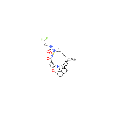 CO[C@H]1/C=C/C[C@H](C)C[S@@](=O)(NC(=O)N[C@H]2C[C@@H]2C(F)F)=NC(=O)c2ccc3c(c2)N(C[C@@H]2CC[C@H]21)C[C@@]1(CCCc2cc(C)ccc21)CO3